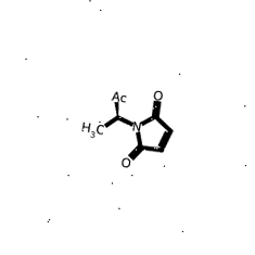 CC(=O)[C@H](C)N1C(=O)C=CC1=O